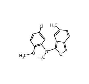 COc1ccc(Cl)cc1N(C)c1occ2ccc(C)cc12